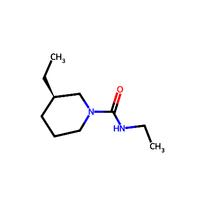 CCNC(=O)N1CCC[C@@H](CC)C1